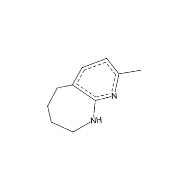 Cc1ccc2c(n1)NCCCC2